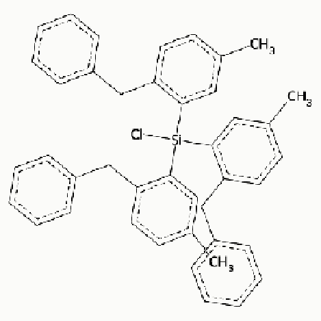 Cc1ccc(Cc2ccccc2)c([Si](Cl)(c2cc(C)ccc2Cc2ccccc2)c2cc(C)ccc2Cc2ccccc2)c1